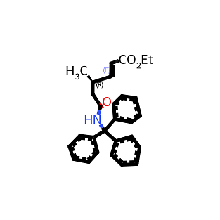 CCOC(=O)/C=C/[C@H](C)CC(=O)NC(c1ccccc1)(c1ccccc1)c1ccccc1